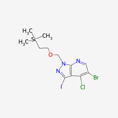 C[Si](C)(C)CCOCn1nc(I)c2c(Cl)c(Br)cnc21